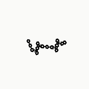 c1ccc(-c2ccc(-c3cccc(-n4c5ccccc5c5cc6c(cc54)c4ccccc4n6-c4ccc(-c5ccc(-c6ccc(-n7c8ccccc8c8cc9c(cc87)c7ccccc7n9-c7ccc8ccccc8c7)cc6)cc5)cc4)c3)cc2)cc1